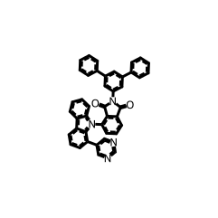 O=C1c2cccc(-n3c4ccccc4c4cccc(-c5cncnc5)c43)c2C(=O)N1c1cc(-c2ccccc2)cc(-c2ccccc2)c1